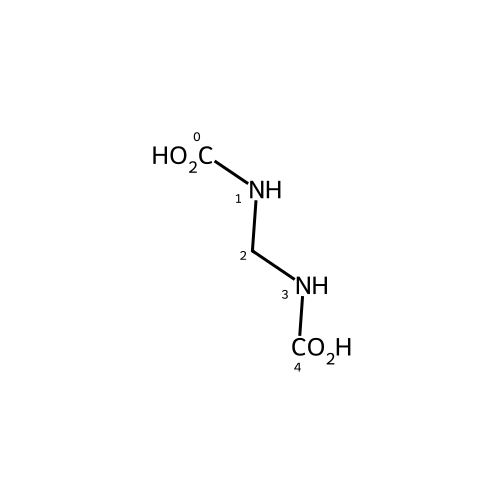 O=C(O)NCNC(=O)O